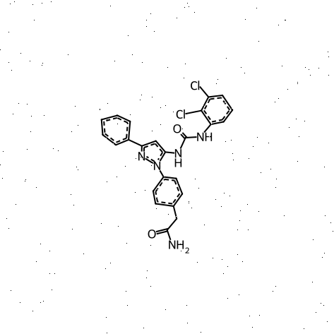 NC(=O)Cc1ccc(-n2nc(-c3ccccc3)cc2NC(=O)Nc2cccc(Cl)c2Cl)cc1